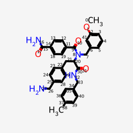 COc1cccc(CN(C(=O)c2ccc(C(N)=O)cc2)C(Cc2ccc(CN)cc2)C(=O)NCc2ccc(C)cc2)c1